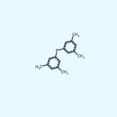 Cc1cc(C)cc([P]c2cc(C)cc(C)c2)c1